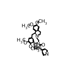 COc1cc2c(cc1OC)C(Cc1cc(OC)c(OC)c(OC)c1)N(CCNC(=O)Nc1ccncc1)CC2